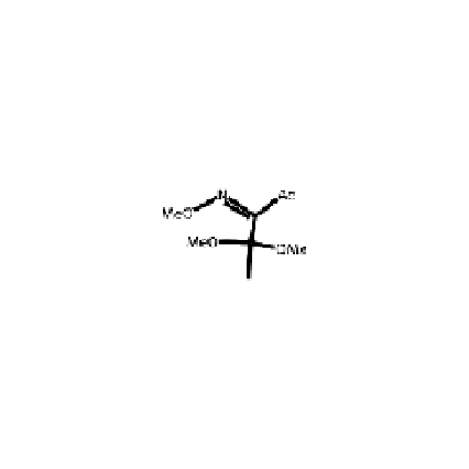 CON=C(C(C)=O)C(C)(OC)OC